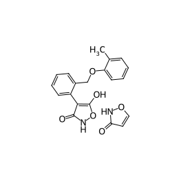 Cc1ccccc1OCc1ccccc1-c1c(O)o[nH]c1=O.O=c1cco[nH]1